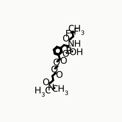 CN(C)C(=O)CCC(=O)OCOC(=O)c1cccc2c1OB(O)[C@@H](NC(=O)CC(C)(F)F)C2